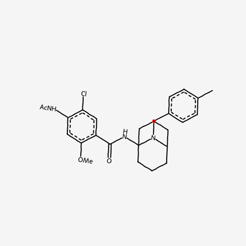 COc1cc(NC(C)=O)c(Cl)cc1C(=O)NC12CCCC(CCC1)N2Cc1ccc(C)cc1